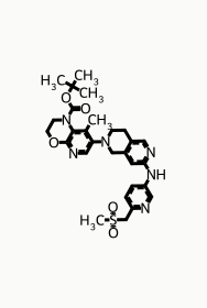 Cc1c(N2CCc3cnc(Nc4ccc(CS(C)(=O)=O)nc4)cc3C2)cnc2c1N(C(=O)OC(C)(C)C)CCO2